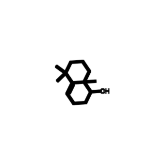 CC1(C)CCCC2(C)C1=CCCC2O